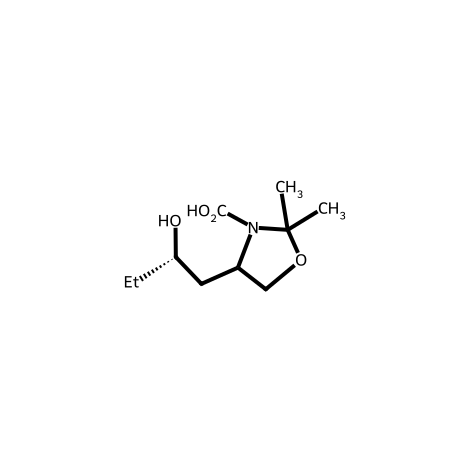 CC[C@H](O)CC1COC(C)(C)N1C(=O)O